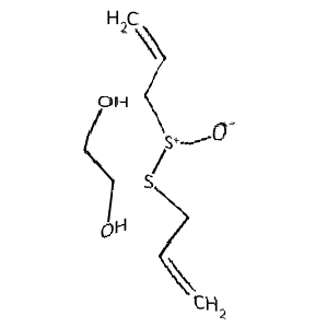 C=CCS[S+]([O-])CC=C.OCCO